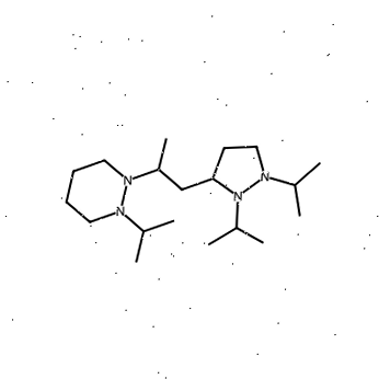 CC(C)N1CCCCN1C(C)CC1CCN(C(C)C)N1C(C)C